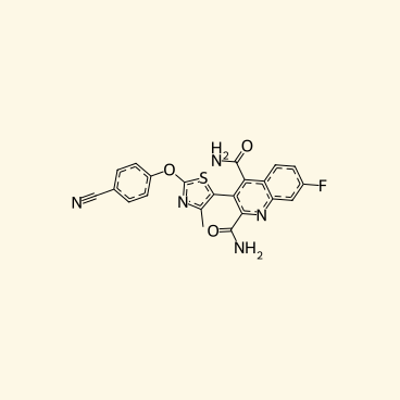 Cc1nc(Oc2ccc(C#N)cc2)sc1-c1c(C(N)=O)nc2cc(F)ccc2c1C(N)=O